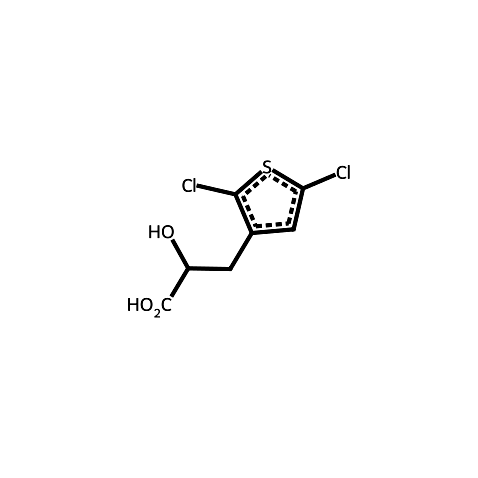 O=C(O)C(O)Cc1cc(Cl)sc1Cl